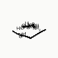 CCCCCCCCCCCCCCCC/C=C\CCCCCCCC(=O)NCCCCCCCC.N=C(N)NC(CCC(N)C(=O)NCC(=O)O)C(=O)O